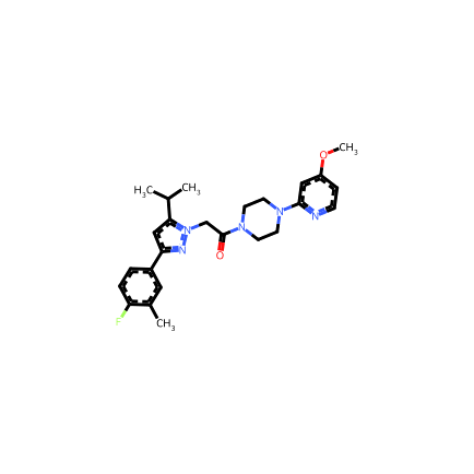 COc1ccnc(N2CCN(C(=O)Cn3nc(-c4ccc(F)c(C)c4)cc3C(C)C)CC2)c1